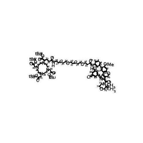 COc1cc2c(cc1-c1cccc(NC(=O)CCOCCOCCOCCOCCNC(=O)CCC(C(=O)OC(C)(C)C)N3CCN(CC(=O)OC(C)(C)C)CCN(CC(=O)OC(C)(C)C)CCN(CC(=O)OC(C)(C)C)CC3)c1)-c1c(c(C(=O)N3CCOCC3(C)C)nn1-c1cc(Cl)cc(Cl)c1)CO2